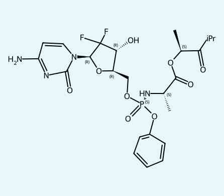 CC(C)C(=O)[C@H](C)OC(=O)[C@H](C)N[P@](=O)(OC[C@H]1O[C@@H](n2ccc(N)nc2=O)C(F)(F)[C@@H]1O)Oc1ccccc1